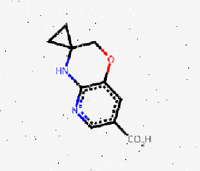 O=C(O)c1cnc2c(c1)OCC1(CC1)N2